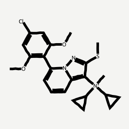 COc1cc(Cl)cc(OC)c1-c1cccc2c([N+](C)(C3CC3)C3CC3)c(SC)nn12